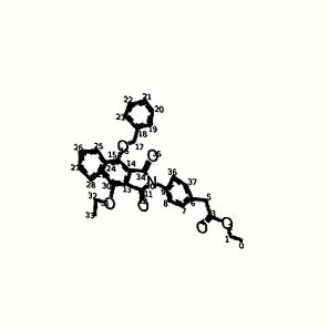 CCOC(=O)Cc1ccc(N2C(=O)c3c(c(OCc4ccccc4)c4ccccc4c3OCC)C2=O)cc1